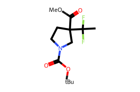 COC(=O)C1(C(C)(F)F)CCN(C(=O)OC(C)(C)C)C1